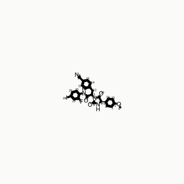 COc1ccc([C@H]2NC(=O)N(C(Cc3ccc(C#N)cc3)C(=O)Nc3ccc(I)cc3F)C2=O)cc1